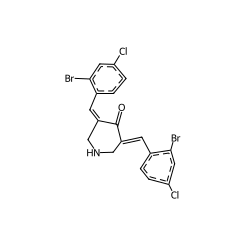 O=C1C(=Cc2ccc(Cl)cc2Br)CNCC1=Cc1ccc(Cl)cc1Br